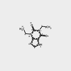 CCn1c(=O)c2[nH]cnc2n(CC)c1=O